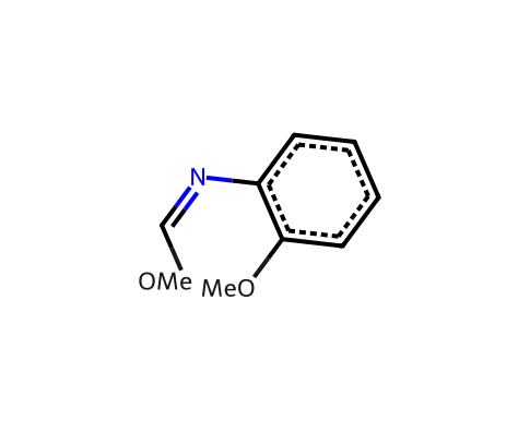 CO/C=N\c1ccccc1OC